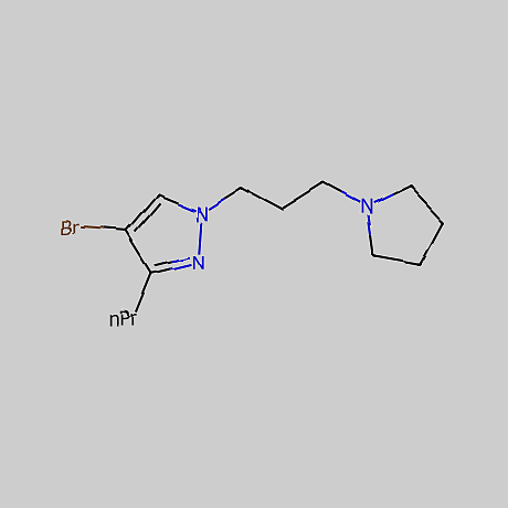 CCCc1nn(CCCN2CCCC2)cc1Br